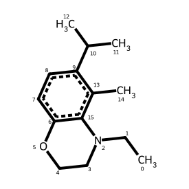 CCN1CCOc2ccc(C(C)C)c(C)c21